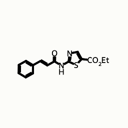 CCOC(=O)c1cnc(NC(=O)/C=C/c2ccccc2)s1